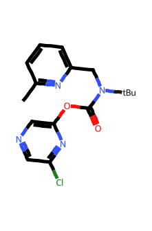 Cc1cccc(CN(C(=O)Oc2cncc(Cl)n2)C(C)(C)C)n1